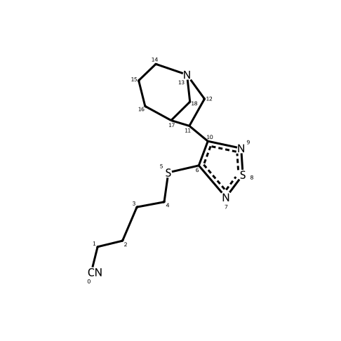 N#CCCCCSc1nsnc1C1CN2CCCC1C2